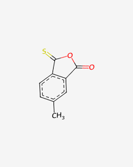 Cc1ccc2c(c1)C(=O)OC2=S